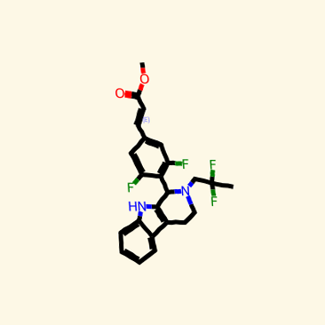 COC(=O)/C=C/c1cc(F)c(C2c3[nH]c4ccccc4c3CCN2CC(C)(F)F)c(F)c1